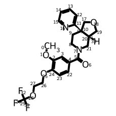 COc1cc(C(=O)N2CC[C@]3(c4ccccn4)COC[C@@H]3C2)ccc1OCCOC(F)(F)F